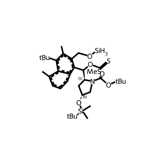 CSC(=S)OC(c1c(CO[SiH3])c(C)c(C(C)(C)C)c2c(C)cccc12)[C@@H]1C[C@@H](O[Si](C)(C)C(C)(C)C)CN1C(=O)OC(C)(C)C